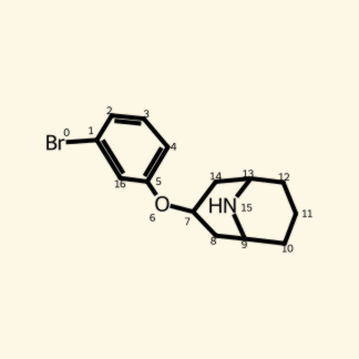 Brc1cccc(OC2CC3CCCC(C2)N3)c1